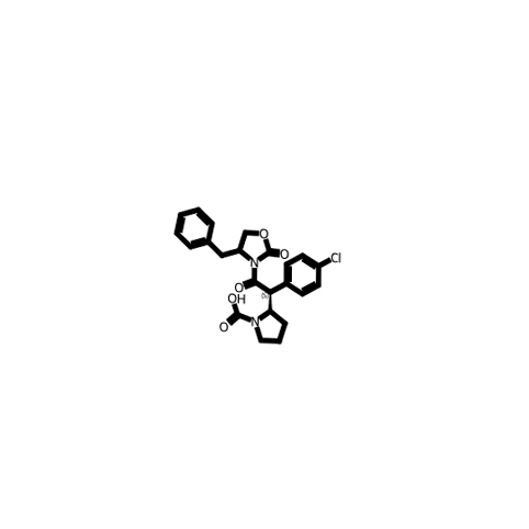 O=C(O)N1CCCC1[C@@H](C(=O)N1C(=O)OCC1Cc1ccccc1)c1ccc(Cl)cc1